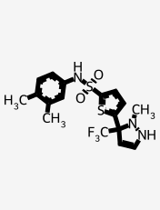 Cc1ccc(NS(=O)(=O)c2ccc(C3(C(F)(F)F)C=CNN3C)s2)cc1C